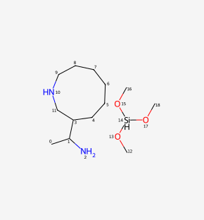 CC(N)C1CCCCCCNC1.CO[SiH](OC)OC